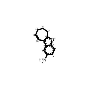 Nc1ccc2oc3c(c2c1)C=CCCC3